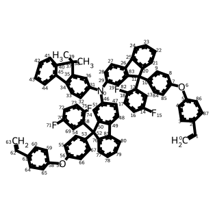 C=Cc1ccc(Oc2ccc(C3(c4cc(F)ccc4F)c4ccccc4-c4ccc(N(c5ccc6c(c5)C(C)(C)c5ccccc5-6)c5ccc6c(c5)C(c5ccc(Oc7ccc(C=C)cc7)cc5)(c5cc(F)ccc5F)c5ccccc5-6)cc43)cc2)cc1